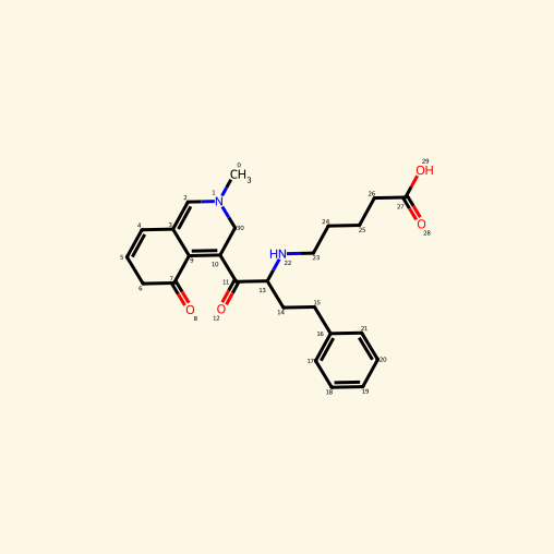 CN1C=C2C=CCC(=O)C2=C(C(=O)C(CCc2ccccc2)NCCCCC(=O)O)C1